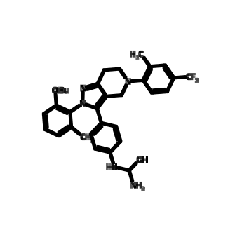 Cc1cc(C(F)(F)F)ccc1N1CCc2nn(-c3c(C)cccc3OCC(C)C)c(-c3ccc(NC(N)O)cc3)c2C1